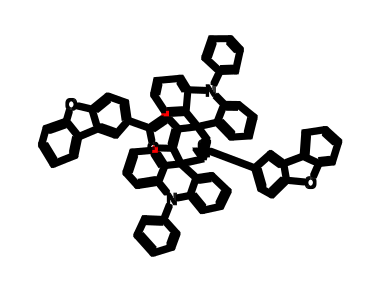 c1ccc(N2c3ccccc3C3(c4ccccc42)c2cc(-c4ccc5oc6ccccc6c5c4)oc2C2(c4ccccc4N(c4ccccc4)c4ccccc42)c2cc(-c4ccc5oc6ccccc6c5c4)oc23)cc1